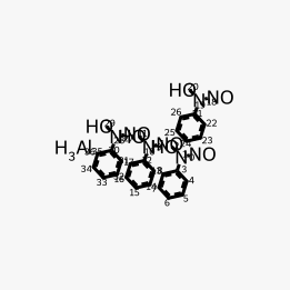 O=NN(O)c1ccccc1.O=NN(O)c1ccccc1.O=NN(O)c1ccccc1.O=NN(O)c1ccccc1.[AlH3]